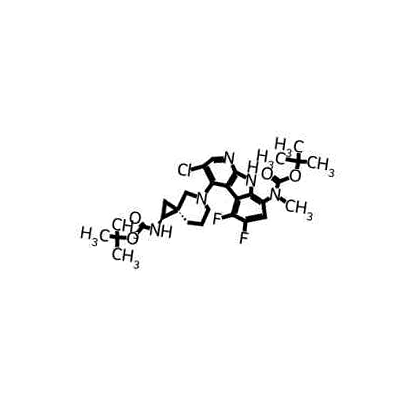 CN(C(=O)OC(C)(C)C)c1cc(F)c(F)c2c1[nH]c1ncc(Cl)c(N3CCC[C@]4(C[C@@H]4NC(=O)OC(C)(C)C)C3)c12